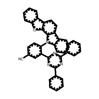 N#Cc1ccc(-n2c3ccccc3c3ccc4c5ccccc5oc4c32)c(-c2nc(-c3ccccc3)nc(-c3ccccc3)n2)c1